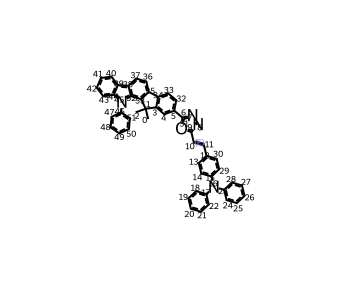 CC1(C)c2cc(-c3nnc(/C=C/c4ccc(N(c5ccccc5)c5ccccc5)cc4)o3)ccc2-c2ccc3c4ccccc4n(-c4ccccc4)c3c21